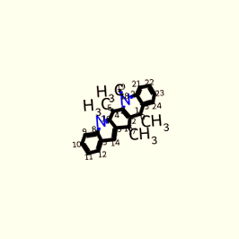 CC1C2=C(C(C)c3nc4ccccc4cc3C2C)N(C)c2ccccc21